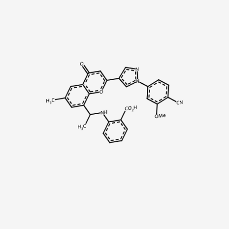 COc1cc(-n2cc(-c3cc(=O)c4cc(C)cc(C(C)Nc5ccccc5C(=O)O)c4o3)cn2)ccc1C#N